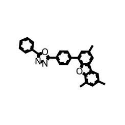 Cc1cc(C)c2oc3c(-c4ccc(-c5nnc(-c6ccccc6)o5)cc4)cc(C)cc3c2c1